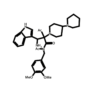 COc1ccc(CN(C(C)=O)C(=O)C(C(C)=O)(C(N)c2c[nH]c3ccccc23)N2CCC(N3CCCCC3)CC2)cc1OC